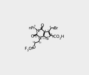 CCCn1c(=O)c2c(CBr)c(C(=O)O)sc2n(CCOC(F)(F)F)c1=O